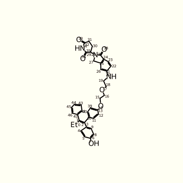 CCC(=C(c1ccc(O)cc1)c1ccc(OCCOCCNc2ccc3c(c2)CN(C2CCC(=O)NC2=O)C3=O)cc1)c1ccccc1